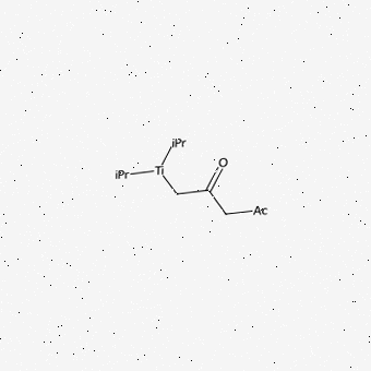 CC(=O)CC(=O)[CH2][Ti]([CH](C)C)[CH](C)C